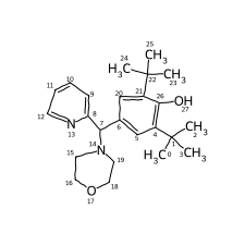 CC(C)(C)c1cc(C(c2ccccn2)N2CCOCC2)cc(C(C)(C)C)c1O